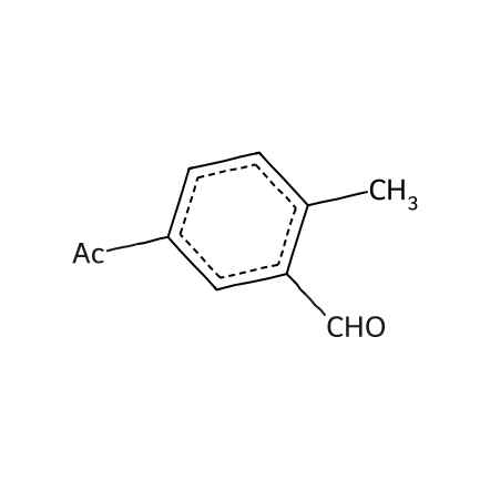 CC(=O)c1ccc(C)c(C=O)c1